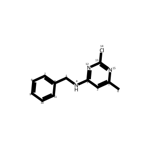 Cc1cc(NCc2ccccc2)nc(Cl)n1